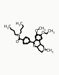 CCCCN(CCCC)C(=O)c1ccc(C2=NC3CCN(C)CC3c3cc(OCC)c(OC)cc32)cc1